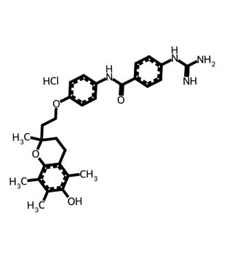 Cc1c(C)c2c(c(C)c1O)CCC(C)(CCOc1ccc(NC(=O)c3ccc(NC(=N)N)cc3)cc1)O2.Cl